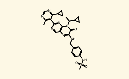 Cc1ncnc(C2CC2)c1-c1ncc2nc(NCc3ccc(NS(C)(=O)=O)cc3)c(=O)n(C(C)C3CC3)c2n1